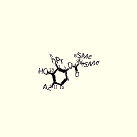 CCCc1c(OC(=O)N(SC)SC)ccc(C(C)=O)c1O